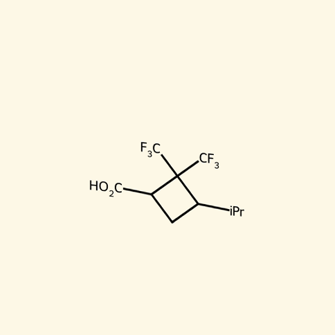 CC(C)C1CC(C(=O)O)C1(C(F)(F)F)C(F)(F)F